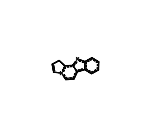 C1=Cn2ccc3c4ccccc4nc-3c2C1